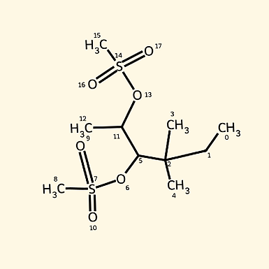 CCC(C)(C)C(OS(C)(=O)=O)C(C)OS(C)(=O)=O